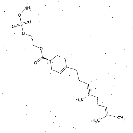 CC(C)=CCC/C(C)=C/CCC1=CC[C@@H](C(=O)OCCOS(=O)(=O)ON)CC1